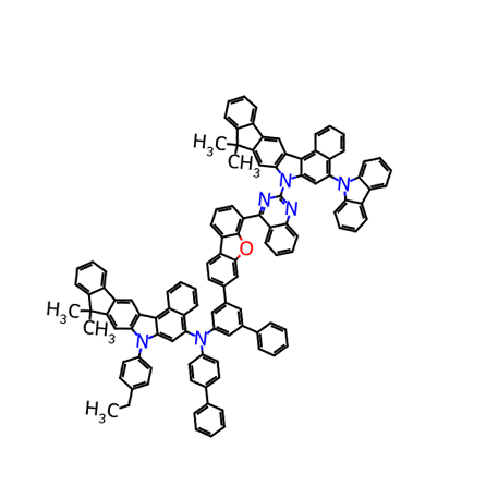 CCc1ccc(-n2c3cc4c(cc3c3c5ccccc5c(N(c5ccc(-c6ccccc6)cc5)c5cc(-c6ccccc6)cc(-c6ccc7c(c6)oc6c(-c8nc(-n9c%10cc%11c(cc%10c%10c%12ccccc%12c(-n%12c%13ccccc%13c%13ccccc%13%12)cc%109)-c9ccccc9C%11(C)C)nc9ccccc89)cccc67)c5)cc32)-c2ccccc2C4(C)C)cc1